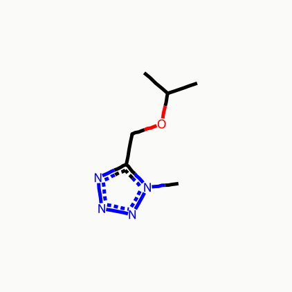 CC(C)OCc1nnnn1C